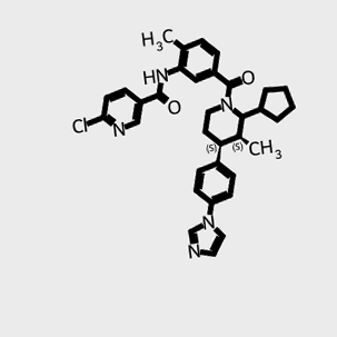 Cc1ccc(C(=O)N2CC[C@H](c3ccc(-n4ccnc4)cc3)[C@H](C)C2C2CCCC2)cc1NC(=O)c1ccc(Cl)nc1